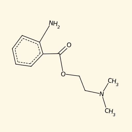 CN(C)CCOC(=O)c1ccccc1N